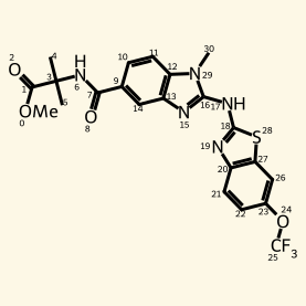 COC(=O)C(C)(C)NC(=O)c1ccc2c(c1)nc(Nc1nc3ccc(OC(F)(F)F)cc3s1)n2C